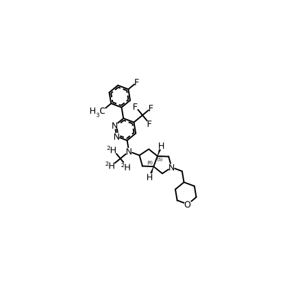 [2H]C([2H])([2H])N(c1cc(C(F)(F)F)c(-c2cc(F)ccc2C)nn1)C1C[C@@H]2CN(CC3CCOCC3)C[C@@H]2C1